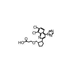 O=C(O)CCOC[C@@H]1CCCC1c1cc(-n2cncn2)c2ccc(Cl)c(Cl)c2n1